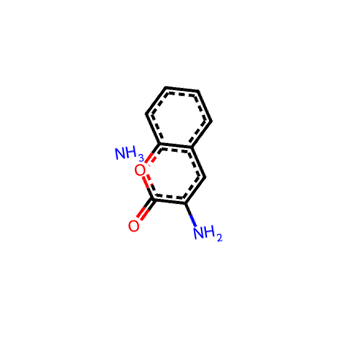 N.Nc1cc2ccccc2oc1=O